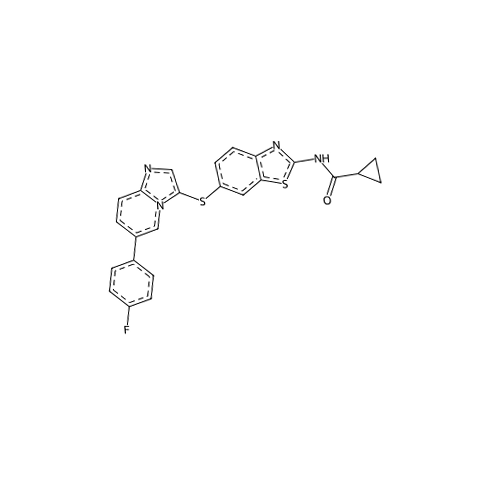 O=C(Nc1nc2ccc(Sc3cnc4ccc(-c5ccc(F)cc5)cn34)cc2s1)C1CC1